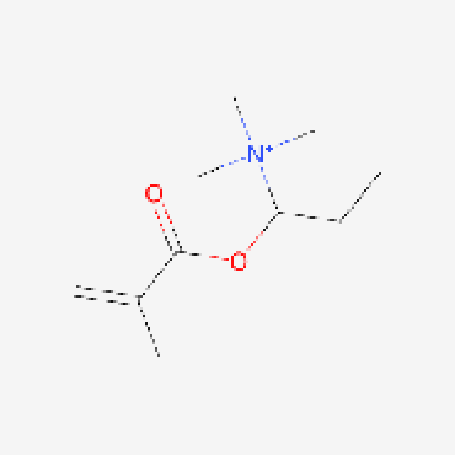 C=C(C)C(=O)OC(CC)[N+](C)(C)C